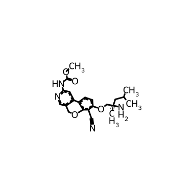 COC(=O)Nc1cc2c(cn1)COc1c-2ccc(OC[C@@](C)(N)CC(C)C)c1C#N